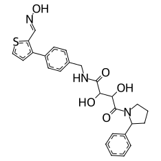 O=C(NCc1ccc(-c2ccsc2/C=N/O)cc1)C(O)C(O)C(=O)N1CCCC1c1ccccc1